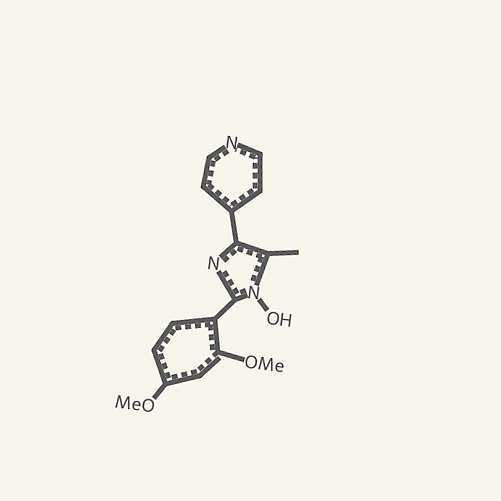 COc1ccc(-c2nc(-c3ccncc3)c(C)n2O)c(OC)c1